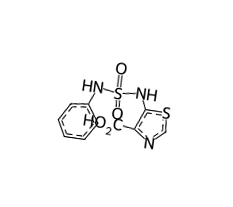 O=C(O)c1ncsc1NS(=O)(=O)Nc1ccccc1